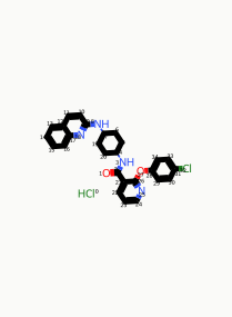 Cl.O=C(N[C@H]1CC[C@@H](Nc2ccc3ccccc3n2)CC1)c1cccnc1Oc1ccc(Cl)cc1